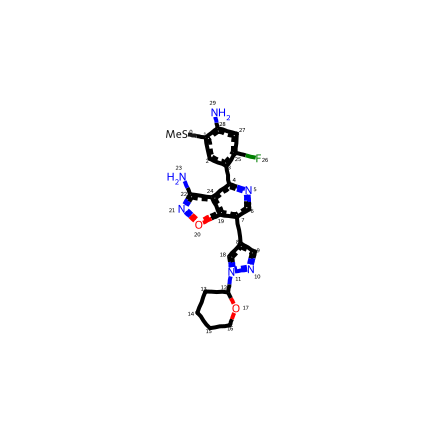 CSc1cc(-c2ncc(-c3cnn(C4CCCCO4)c3)c3onc(N)c23)c(F)cc1N